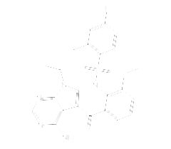 COc1cccc(C(=O)c2cn(C(C)C)c3ncnc(N)c23)c1NS(=O)(=O)c1ccc(F)cc1Cl